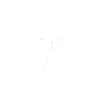 CCCCCCCCCCCCCN1C=CN(CCCCCCCCCC)C1CCCC